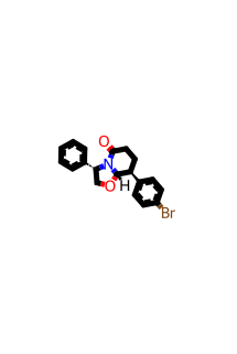 O=C1CC[C@@H](c2ccc(Br)cc2)[C@@H]2OC[C@H](c3ccccc3)N12